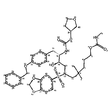 CNC(=O)OCCCC(C)(C)CN(C[C@@H](O)[C@H](Cc1ccc(OCc2ccccc2)cc1)NC(=O)OC1CCOC1)S(=O)(=O)c1ccc2c(c1)OCO2